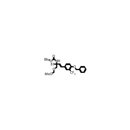 CCC(C=Cc1ccc(OCc2ccccc2)c(C(F)(F)F)c1)(COCOC)NC(=O)OC(C)(C)C